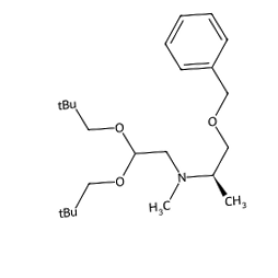 C[C@H](COCc1ccccc1)N(C)CC(OCC(C)(C)C)OCC(C)(C)C